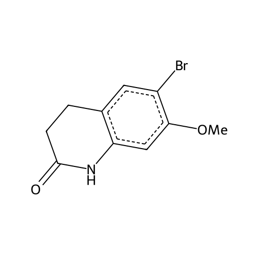 COc1cc2c(cc1Br)CCC(=O)N2